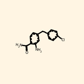 NC(=O)c1ccc(Cc2ccc(Cl)cc2)cc1N